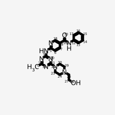 Cc1nc(Nc2ccc(C(=O)Nc3ccccc3)cn2)nc(N2CCN(CCO)CC2)n1